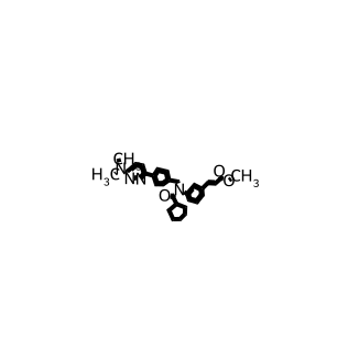 COC(=O)/C=C/c1cccc(N(Cc2ccc(-c3ccc(N(C)C)nn3)cc2)C(=O)C2CCCCC2)c1